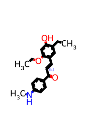 CCOc1cc(O)c(CC)cc1/C=C/C(=O)c1ccc(NC)cc1